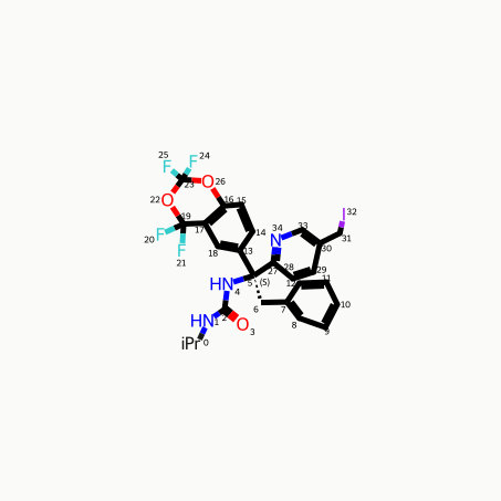 CC(C)NC(=O)N[C@@](Cc1ccccc1)(c1ccc2c(c1)C(F)(F)OC(F)(F)O2)c1ccc(CI)cn1